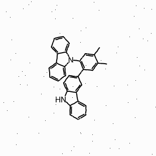 Cc1cc(-c2ccc3[nH]c4ccccc4c3c2)c(-n2c3ccccc3c3ccccc32)cc1C